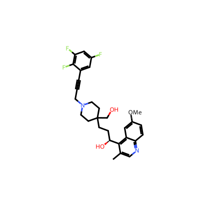 COc1ccc2ncc(C)c([C@@H](O)CCC3(CO)CCN(CC#Cc4cc(F)cc(F)c4F)CC3)c2c1